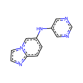 c1ncc(Nc2ccc3nccn3c2)cn1